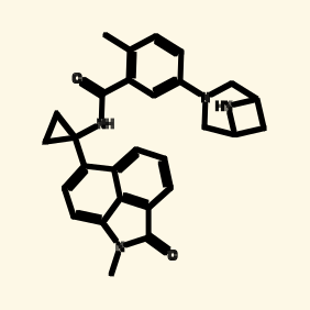 Cc1ccc(N2CC3CC(C2)N3)cc1C(=O)NC1(c2ccc3c4c(cccc24)C(=O)N3C)CC1